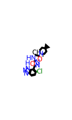 C[C@@H](Nc1nnc(-c2c(Cl)ccc3nn[nH]c23)o1)C(=O)N1CCC2(CC1)CC2